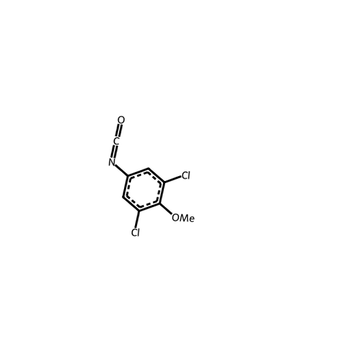 COc1c(Cl)cc(N=C=O)cc1Cl